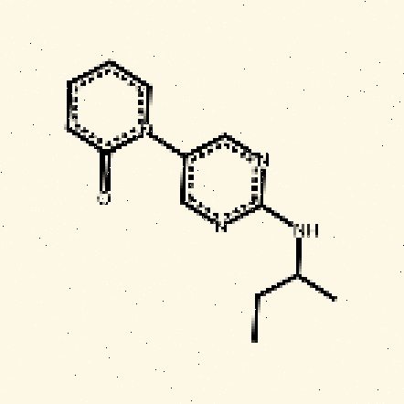 CCC(C)Nc1ncc(-n2ccccc2=O)cn1